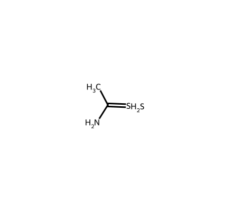 CC(N)=S.S